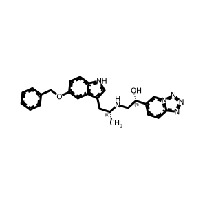 C[C@H](Cc1c[nH]c2ccc(OCc3ccccc3)cc12)NC[C@H](O)c1ccc2nnnn2c1